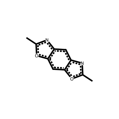 Cc1nc2cc3nc(C)oc3cc2o1